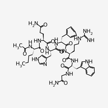 CCCC[C@H](NC(C)=O)C(=O)N[C@@H](CCC(N)=O)C(=O)N[C@@H](Cc1c[nH]cn1)C(=O)N[C@H](Cc1ccccc1)C(=O)N[C@@H](CCCNC(=N)N)C(=O)N[C@H](Cc1c[nH]c2ccccc12)C(=O)NCC(N)=O